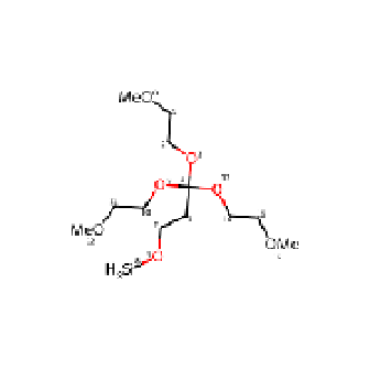 COCCOC(CCO[SiH3])(OCCOC)OCCOC